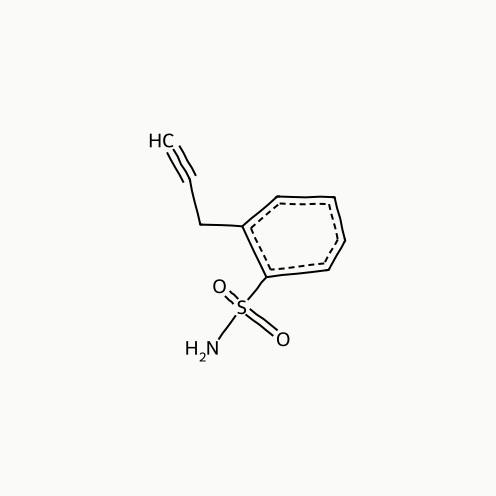 C#CCc1ccccc1S(N)(=O)=O